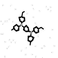 CCc1ccc(N(c2ccc(C)cc2)c2ccc(N(c3ccc(C)cc3)c3ccc(CC)cc3)cc2)cc1